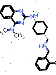 CN(C)c1nc(N[C@H]2CC[C@@H](CNCc3ccccc3C#N)CC2)nc2ccccc12